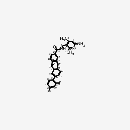 Cc1cc(N)nc(C)c1CNC(=O)c1ccc2c(c1)C1OC2c2cc(-c3ccc(F)cc3F)ccc21